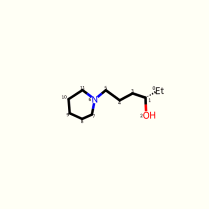 CC[C@H](O)CCCN1CCCCC1